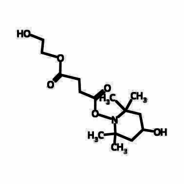 CC1(C)CC(O)CC(C)(C)N1OC(=O)CCC(=O)OCCO